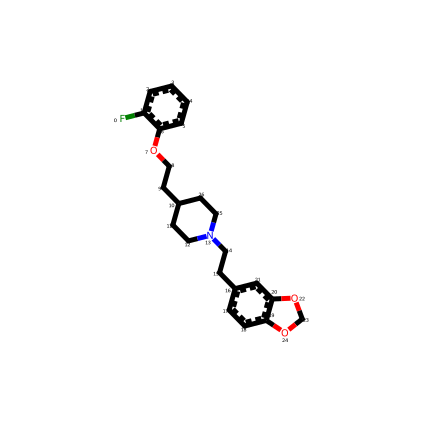 Fc1ccccc1OCCC1CCN(CCc2ccc3c(c2)OCO3)CC1